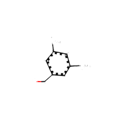 COc1cc([CH]O)cc(OC)c1